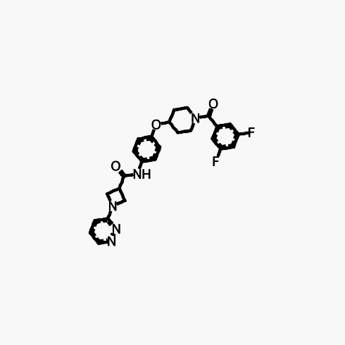 O=C(Nc1ccc(OC2CCN(C(=O)c3cc(F)cc(F)c3)CC2)cc1)C1CN(c2cccnn2)C1